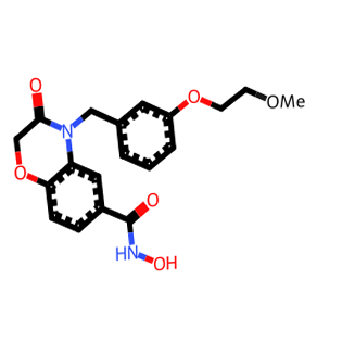 COCCOc1cccc(CN2C(=O)COc3ccc(C(=O)NO)cc32)c1